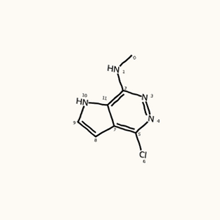 CNc1nnc(Cl)c2cc[nH]c12